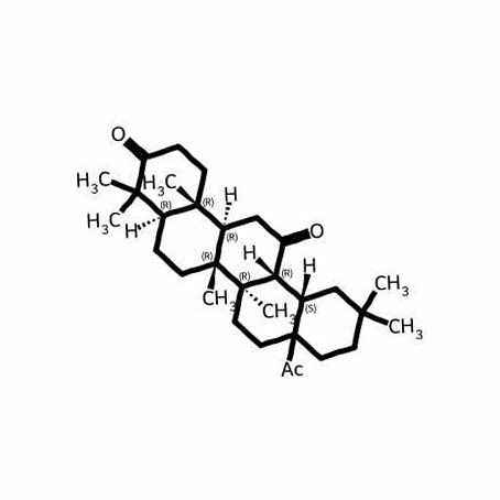 CC(=O)C12CCC(C)(C)C[C@H]1[C@H]1C(=O)C[C@@H]3[C@@]4(C)CCC(=O)C(C)(C)[C@@H]4CC[C@@]3(C)[C@]1(C)CC2